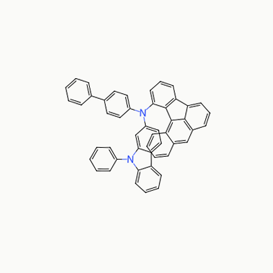 c1ccc(-c2ccc(N(c3ccc4c5ccccc5n(-c5ccccc5)c4c3)c3cccc4c3-c3c5ccccc5cc5cccc-4c35)cc2)cc1